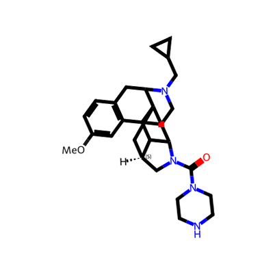 COc1ccc2c(c1)C13CCN(CC4CC4)C(C2)C12CCC1C3[C@@H](CN1C(=O)N1CCNCC1)C2